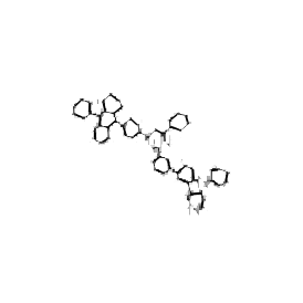 c1ccc(-c2cc(-c3ccc(-c4c5ccccc5c(-c5ccccc5)c5ccccc45)cc3)nc(-c3cccc(-c4ccc5c(c4)c4cnccc4n5-c4ccccc4)c3)n2)cc1